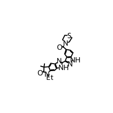 CCN1C(=O)C(C)(C)c2cc3nc(-c4n[nH]c5ccc(C(=O)N6CCSCC6)cc45)[nH]c3cc21